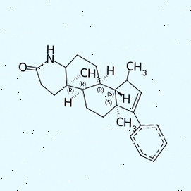 CC1C=C(c2ccccc2)[C@@]2(C)CC[C@@H]3[C@@H](CCC4NC(=O)CC[C@@]43C)[C@H]12